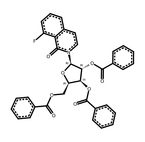 O=C(OC[C@H]1O[C@@H](n2ccc3cccc(F)c3c2=O)[C@H](OC(=O)c2ccccc2)[C@H]1OC(=O)c1ccccc1)c1ccccc1